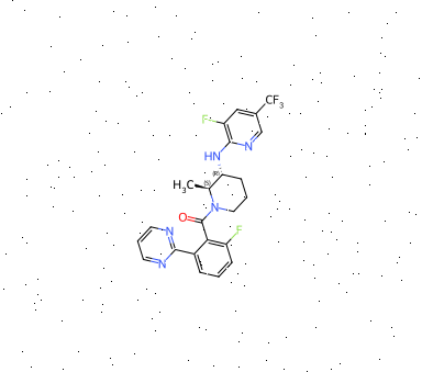 C[C@H]1[C@H](Nc2ncc(C(F)(F)F)cc2F)CCCN1C(=O)c1c(F)cccc1-c1ncccn1